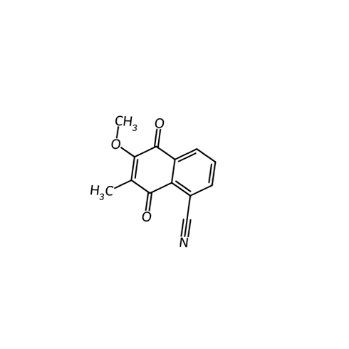 COC1=C(C)C(=O)c2c(C#N)cccc2C1=O